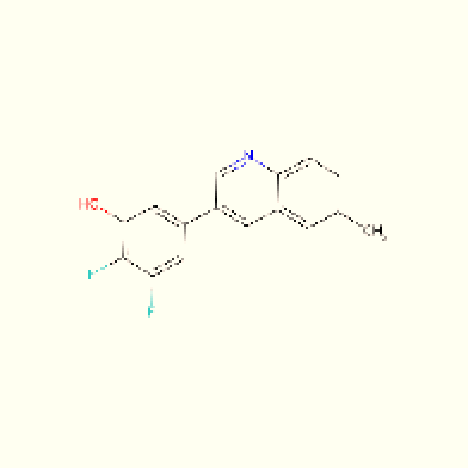 CC1C=c2cc(-c3cc(O)c(F)c(F)c3)cnc2=CC1